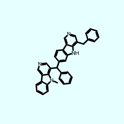 Cn1c2ccccc2c2cncc(C(c3ccccc3)c3ccc4c(c3)[nH]c3c(Cc5ccccc5)cncc34)c21